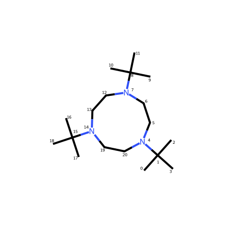 CC(C)(C)N1CCN(C(C)(C)C)CCN(C(C)(C)C)CC1